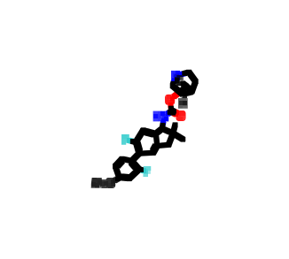 COc1ccc(-c2cc3c(cc2F)C(NC(=O)O[C@H]2CN4CCC2CC4)C(C)(C)C3)c(F)c1